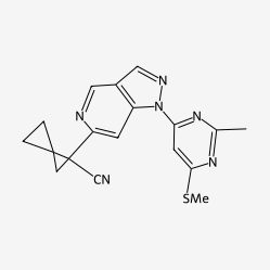 CSc1cc(-n2ncc3cnc(C4(C#N)CC45CC5)cc32)nc(C)n1